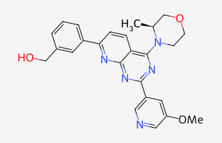 COc1cncc(-c2nc(N3CCOC[C@@H]3C)c3ccc(-c4cccc(CO)c4)nc3n2)c1